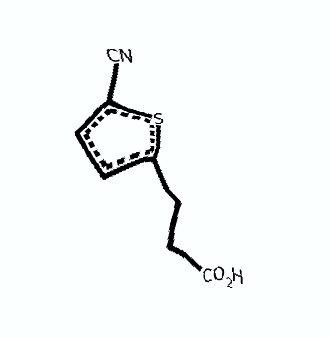 N#Cc1ccc(CCC(=O)O)s1